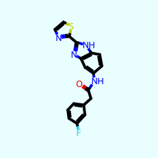 O=C(Cc1cccc(F)c1)Nc1ccc2[nH]c(-c3nccs3)nc2c1